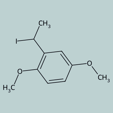 COc1ccc(OC)c(C(C)I)c1